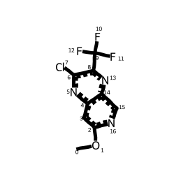 COc1cc2nc(Cl)c(C(F)(F)F)nc2cn1